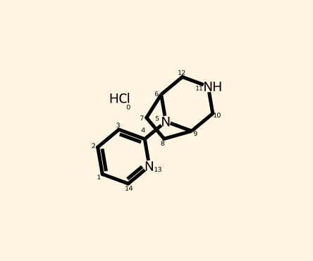 Cl.c1ccc(N2C3CCC2CNC3)nc1